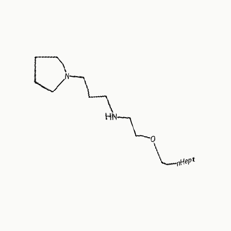 CCCCCCCCOCCNCCCN1CCCC1